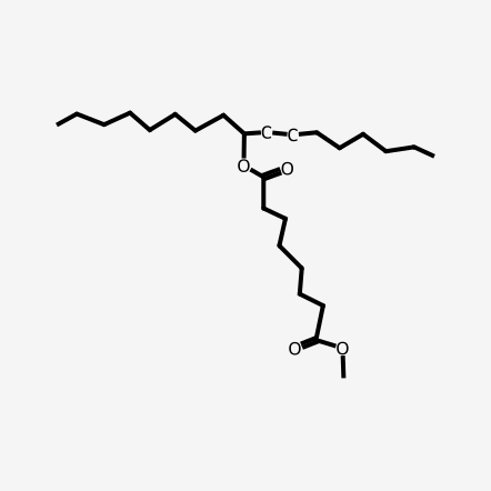 CCCCCCCCC(CCCCCCCC)OC(=O)CCCCCCC(=O)OC